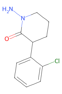 NN1CCCC(c2ccccc2Cl)C1=O